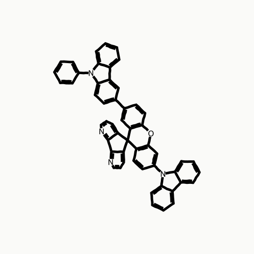 c1ccc(-n2c3ccccc3c3cc(-c4ccc5c(c4)C4(c6ccc(-n7c8ccccc8c8ccccc87)cc6O5)c5cccnc5-c5ncccc54)ccc32)cc1